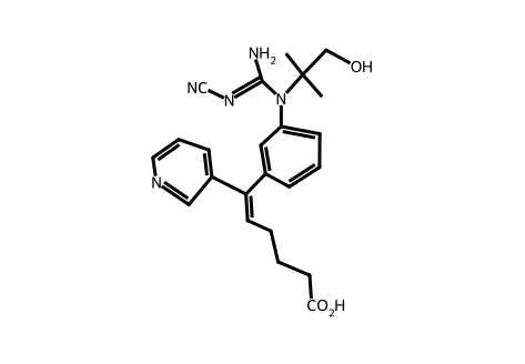 CC(C)(CO)N(C(N)=NC#N)c1cccc(/C(=C\CCCC(=O)O)c2cccnc2)c1